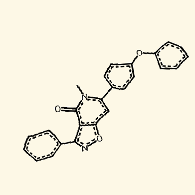 Cn1c(-c2ccc(Oc3ccccc3)cc2)cc2onc(-c3ccccc3)c2c1=O